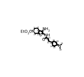 CCOC(=O)N1CCc2c(sc(NC(=O)/C=C/c3ccc(N(C)C)cc3)c2N)C1